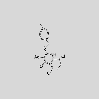 CC(=O)c1c(SCc2ccc(C)cc2)[nH]c2c(c1=O)=C(Cl)CCC=2Cl